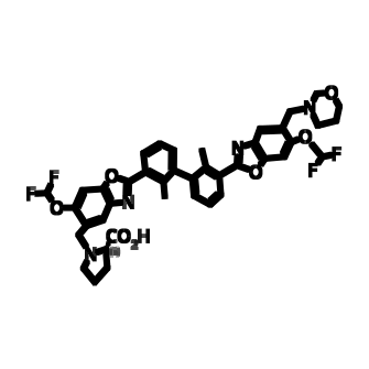 Cc1c(-c2nc3cc(CN4CCCOC4)c(OC(F)F)cc3o2)cccc1-c1cccc(-c2nc3cc(CN4CCC[C@H]4C(=O)O)c(OC(F)F)cc3o2)c1C